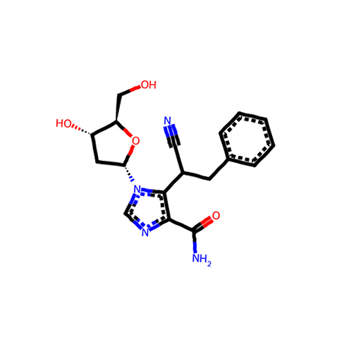 N#CC(Cc1ccccc1)c1c(C(N)=O)ncn1[C@@H]1C[C@H](O)[C@@H](CO)O1